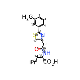 Cc1cccc(-c2nc(CC(=O)N[C@H](CC(C)C)C(=O)O)cs2)c1